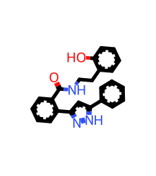 O=C(NCCc1ccccc1O)c1ccccc1-c1cc(-c2ccccc2)[nH]n1